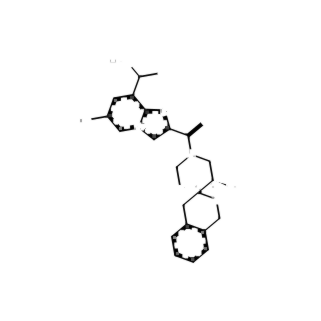 C=C(c1cn2cc(C(C)C)cc(C(C)OC)c2n1)N1CC[C@]2(Cc3ccccc3CN2)[C@H](O)C1